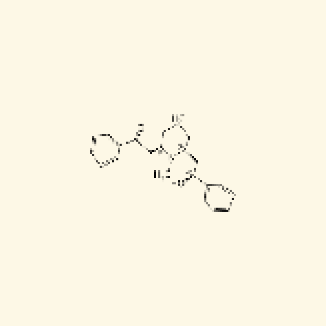 CN1[C@@H](CC(=O)c2ccccc2)CCC[C@H]1C[C@H](O)c1ccccc1.Cl